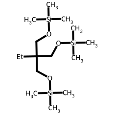 CCC(CO[Si](C)(C)C)(CO[Si](C)(C)C)CO[Si](C)(C)C